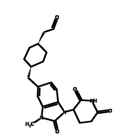 Cn1c(=O)n(C2CCC(=O)NC2=O)c2ccc(C[C@H]3CC[C@@H](CC=O)CC3)cc21